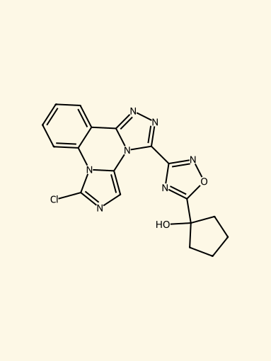 OC1(c2nc(-c3nnc4c5ccccc5n5c(Cl)ncc5n34)no2)CCCC1